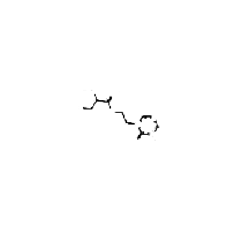 CCC(C)C(=O)OCCn1cncnc1=O